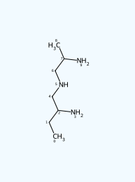 CCC(N)CNCC(C)N